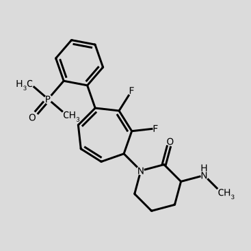 CNC1CCCN(C2C=CC=C(c3ccccc3P(C)(C)=O)C(F)=C2F)C1=O